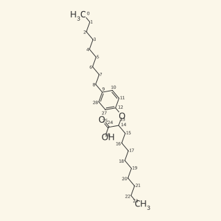 CCCCCCCCCc1ccc(OC(CCCCCCCCC)C(=O)O)cc1